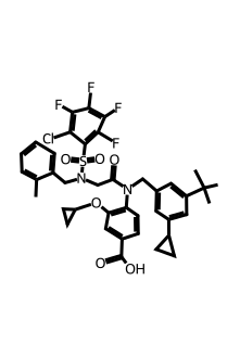 Cc1ccccc1CN(CC(=O)N(Cc1cc(C2CC2)cc(C(C)(C)C)c1)c1ccc(C(=O)O)cc1OC1CC1)S(=O)(=O)c1c(F)c(F)c(F)c(F)c1Cl